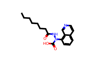 CCCCCCCC(=O)NN(C(=O)O)c1cccc2ccncc12